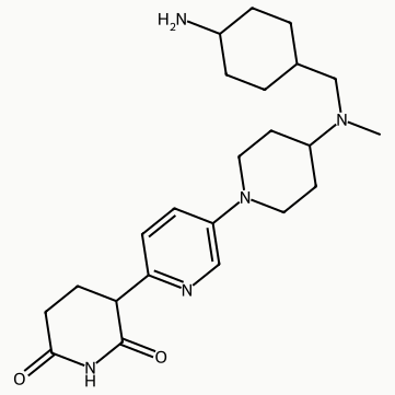 CN(CC1CCC(N)CC1)C1CCN(c2ccc(C3CCC(=O)NC3=O)nc2)CC1